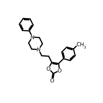 Cc1ccc(-c2oc(=O)oc2CCN2CCN(c3ccccc3)CC2)cc1